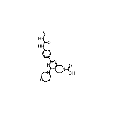 CCNC(=O)Nc1ccc(-c2nc3c(c(N4CCCOCC4)n2)CCN(C(=O)O)C3)cc1